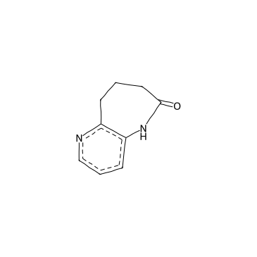 O=C1CCCc2ncccc2N1